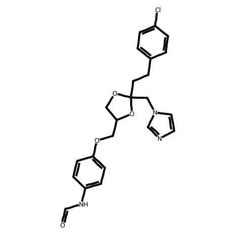 O=CNc1ccc(OCC2COC(CCc3ccc(Cl)cc3)(Cn3ccnc3)O2)cc1